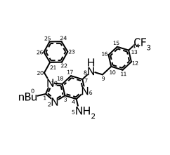 CCCCc1nc2c(N)nc(NCc3ccc(C(F)(F)F)cc3)cc2n1Cc1ccccc1